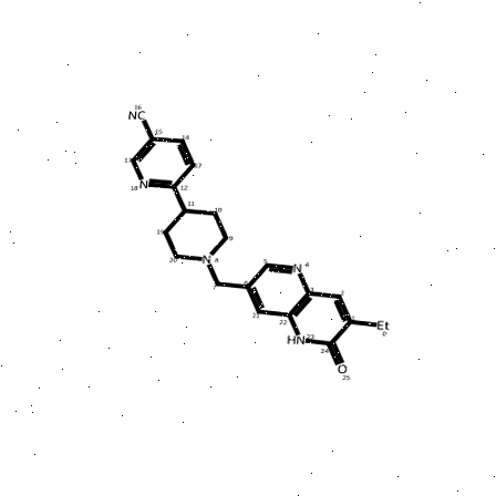 CCc1cc2ncc(CN3CCC(c4ccc(C#N)cn4)CC3)cc2[nH]c1=O